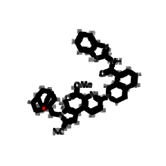 COC(=O)c1nc(N2CCc3cccc(C(=O)Nc4nc5ccccc5s4)c3C2)ccc1-c1cc(C#N)n(CC23CC4CC(CC(C4)O2)C3)c1C